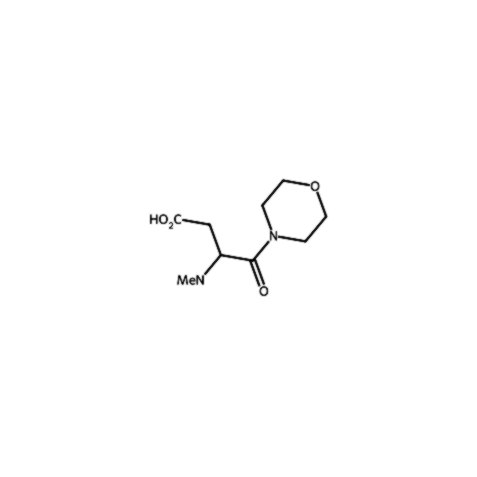 CNC(CC(=O)O)C(=O)N1CCOCC1